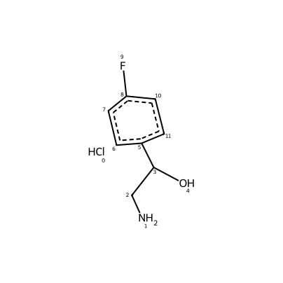 Cl.NCC(O)c1ccc(F)cc1